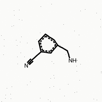 N#Cc1cccc(C[NH])c1